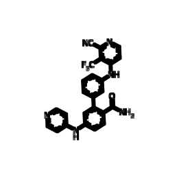 N#Cc1nccc(Nc2cccc(-c3cc(Nc4ccncc4)ccc3C(N)=O)c2)c1C(F)(F)F